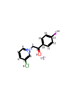 O=C(C[n+]1cccc(Cl)c1)c1ccc(I)cc1.[I-]